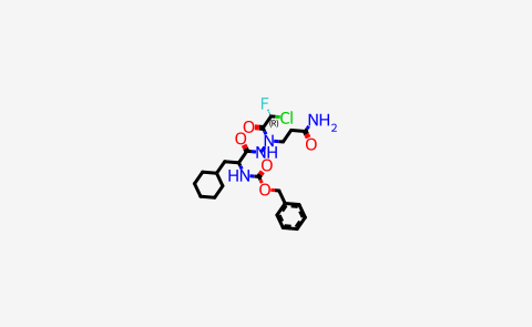 NC(=O)CCN(NC(=O)C(CC1CCCCC1)NC(=O)OCc1ccccc1)C(=O)[C@H](F)Cl